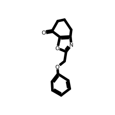 O=C1CCCc2nc(COc3ccccc3)oc21